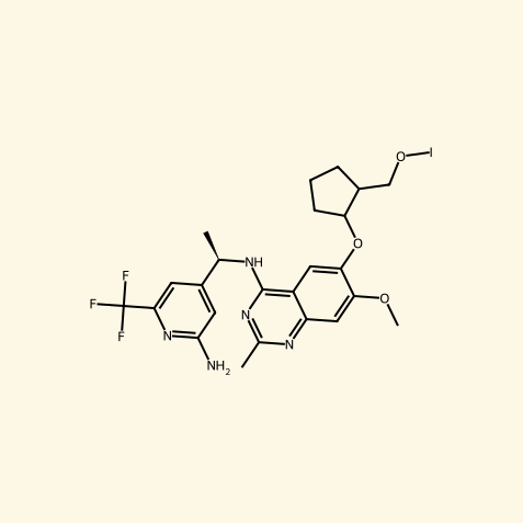 COc1cc2nc(C)nc(N[C@H](C)c3cc(N)nc(C(F)(F)F)c3)c2cc1OC1CCCC1COI